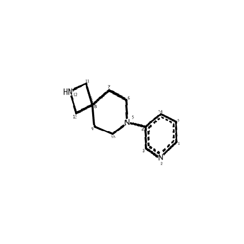 c1cncc(N2CCC3(CC2)CNC3)c1